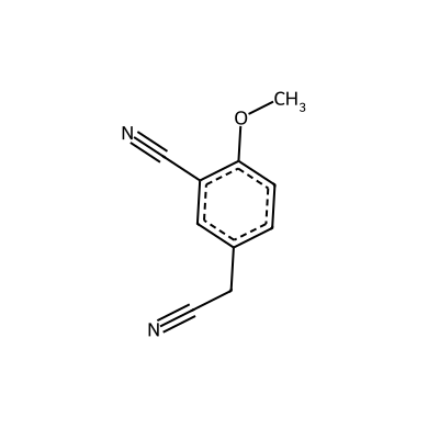 COc1ccc(CC#N)cc1C#N